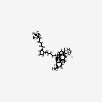 C[C@]1(O)CC[C@H]2[C@@H]3[C@H](CCCCCN4CCC[C@H]4CCCCCC(F)(F)C(F)(F)F)Cc4cc(O)ccc4[C@H]3[C@@H](F)C[C@@]21C